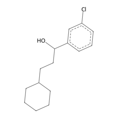 OC(CCC1CCCCC1)c1cccc(Cl)c1